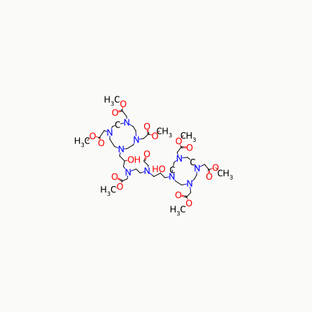 COC(=O)CN1CCN(CC(=O)OC)CCN(CC(O)CN(CC=O)CCN(CC(=O)OC)CC(O)CN2CCN(CC(=O)OC)CCN(CC(=O)OC)CCN(CC(=O)OC)CC2)CCN(CC(=O)OC)CC1